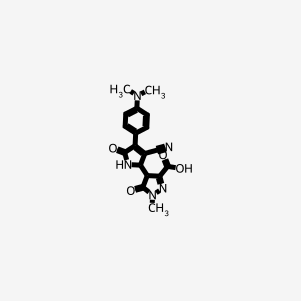 CN1N=C(C(=O)O)C(C2NC(=O)C(c3ccc(N(C)C)cc3)=C2C#N)C1=O